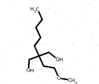 CCCCCC(CO)(CO)CCOC